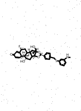 CNc1cccc(SCc2ccc([C@@H]3O[C@@H]4C[C@H]5[C@@H]6C[C@H](F)C7=CC(=O)C=C[C@]7(C)[C@@]6(F)[C@@H](O)C[C@]5(C)[C@]4(C(=O)CO)O3)cc2)c1